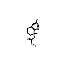 Cc1cnc2c(c1)CCCC2(C)SC(N)=O